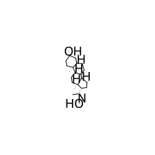 C/C(=N\O)[C@H]1CC[C@H]2[C@@H]3CC[C@H]4C[C@@H](O)CC[C@]4(C)[C@H]3CC[C@]12C